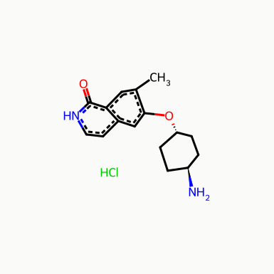 Cc1cc2c(=O)[nH]ccc2cc1O[C@H]1CC[C@H](N)CC1.Cl